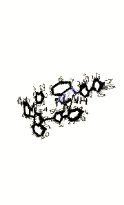 N=C(/N=C1/C=CC=C/C1=C\c1ccc(-c2ccccc2)cc1)n1c2ccccc2c2ccc(-c3cc4c(c5ccccc35)c3ccccc3n4-c3ccccc3)cc21